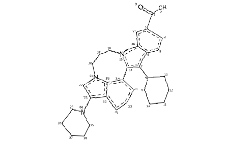 O=C(O)c1ccc2c(C3CCCCC3)c3n(c2c1)CCCn1cc(N2CCCCC2)c2cccc-3c21